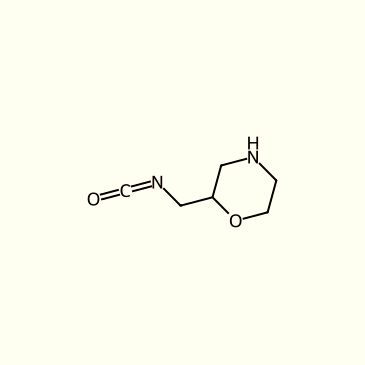 O=C=NCC1CNCCO1